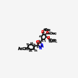 CCCCCCCCCCOc1cc(-c2nnc(-c3ccc(OC(C)=O)cc3)o2)cc(OCCCCCCCCCC)c1OCCCCCCCCCC